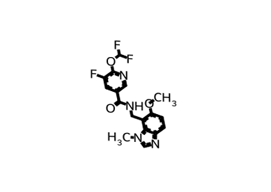 COc1ccc2ncn(C)c2c1CNC(=O)c1cnc(OC(F)F)c(F)c1